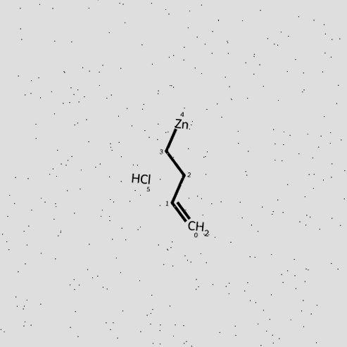 C=CC[CH2][Zn].Cl